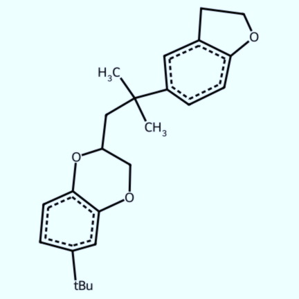 CC(C)(C)c1ccc2c(c1)OCC(CC(C)(C)c1ccc3c(c1)CCO3)O2